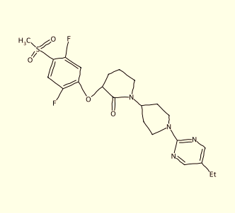 CCc1cnc(N2CCC(N3CCCC(Oc4cc(F)c(S(C)(=O)=O)cc4F)C3=O)CC2)nc1